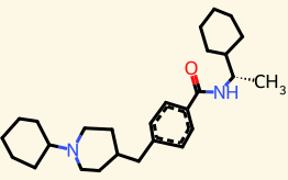 C[C@H](NC(=O)c1ccc(CC2CCN(C3CCCCC3)CC2)cc1)C1CCCCC1